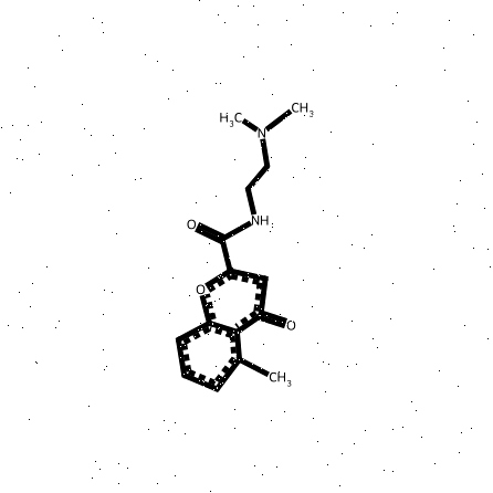 Cc1cccc2oc(C(=O)NCCN(C)C)cc(=O)c12